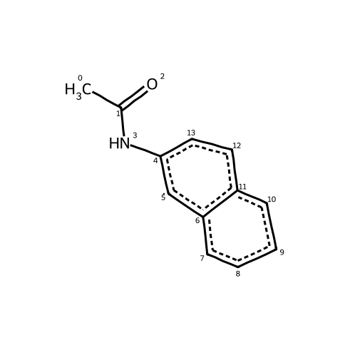 CC(=O)Nc1[c]c2ccccc2cc1